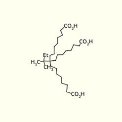 CCC(C)(C)C(CCCCCCCC(=O)O)(CCCCCCCC(=O)O)CCCCCCCC(=O)O